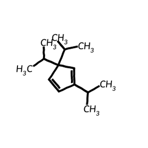 CC(C)C1=CC(C(C)C)(C(C)C)C=C1